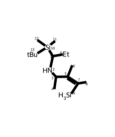 CCC(NC(C)C(C)=C(C)[SiH3])[Si](C)(C)C(C)(C)C